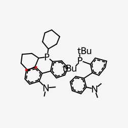 CN(C)c1ccccc1-c1ccccc1P(C(C)(C)C)C(C)(C)C.CN(C)c1ccccc1-c1ccccc1P(C1CCCCC1)C1CCCCC1